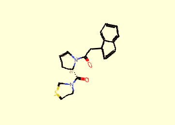 O=C([C@@H]1CCCN1C(=O)CC1C=Cc2ccccc21)N1CCSC1